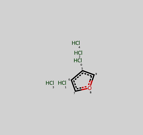 Cl.Cl.Cl.Cl.Cl.c1ccoc1